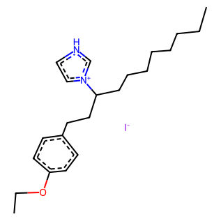 CCCCCCCCC(CCc1ccc(OCC)cc1)[n+]1cc[nH]c1.[I-]